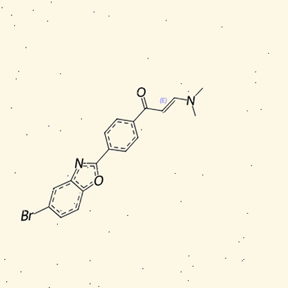 CN(C)/C=C/C(=O)c1ccc(-c2nc3cc(Br)ccc3o2)cc1